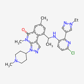 CCn1cc(-c2nc(Cl)ccc2NC(C)c2cc(C)cc3c(=O)n(C)c4c(cnn4C4CCN(C)CC4)c23)cn1